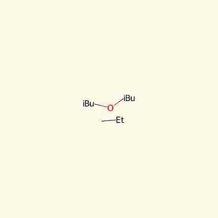 CCC.CCC(C)OC(C)CC